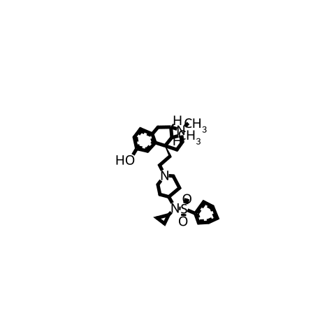 C[C@H]1[C@H]2Cc3ccc(O)cc3[C@@]1(CCN1CCC(N(C3CC3)S(=O)(=O)c3ccccc3)CC1)CCN2C